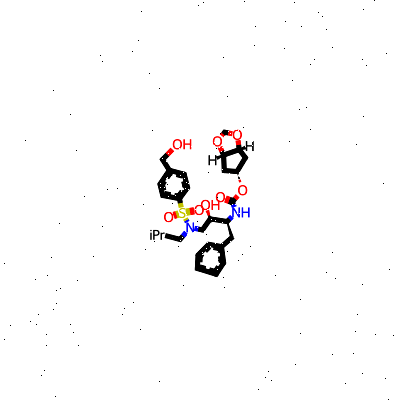 CC(C)CN(C[C@@H](O)[C@H](Cc1ccccc1)NC(=O)O[C@@H]1C[C@@H]2OCO[C@@H]2C1)S(=O)(=O)c1ccc(CO)cc1